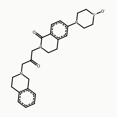 O=C(CN1CCc2ccccc2C1)CN1CCc2cc(N3CC[S+]([O-])CC3)ccc2C1=O